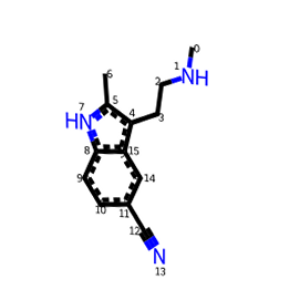 CNCCc1c(C)[nH]c2ccc(C#N)cc12